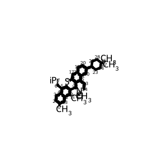 Cc1ccc2c(CC(C)C)c3c(c(C)c2c1)-c1c2c(cc4ccc(C5CCC(C)(C)CC5)cc4c2cc[n+]1C)S3